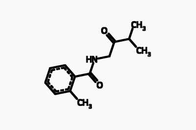 Cc1ccccc1C(=O)NCC(=O)C(C)C